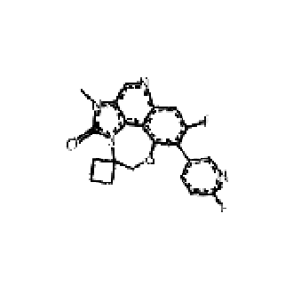 Cn1c(=O)n2c3c4c(c(-c5ccc(F)nc5)c(F)cc4ncc31)OCC21CCC1